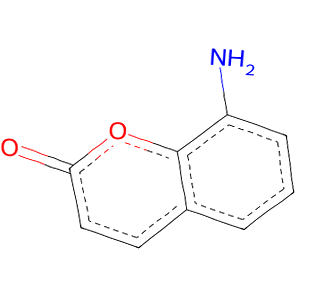 Nc1cccc2ccc(=O)oc12